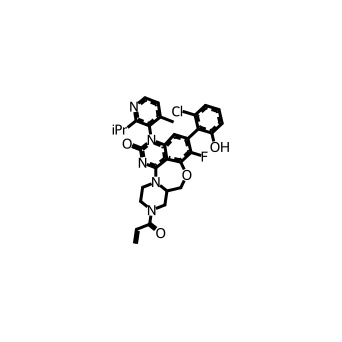 C=CC(=O)N1CCN2c3nc(=O)n(-c4c(C)ccnc4C(C)C)c4cc(-c5c(O)cccc5Cl)c(F)c(c34)OCC2C1